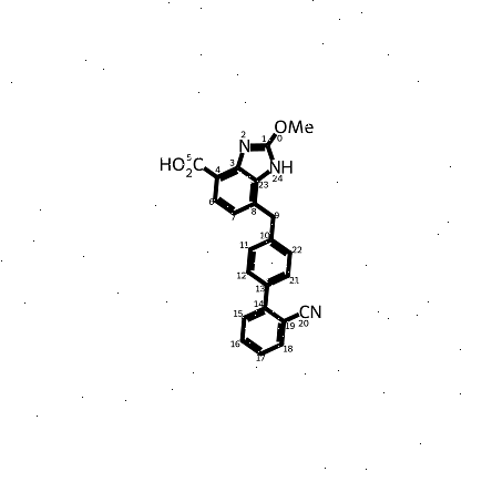 COc1nc2c(C(=O)O)ccc(Cc3ccc(-c4ccccc4C#N)cc3)c2[nH]1